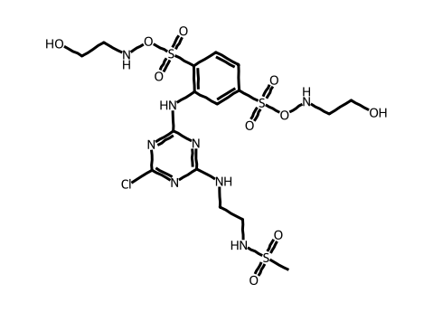 CS(=O)(=O)NCCNc1nc(Cl)nc(Nc2cc(S(=O)(=O)ONCCO)ccc2S(=O)(=O)ONCCO)n1